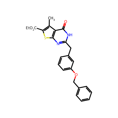 CCOC(=O)c1sc2nc(Cc3cccc(OCc4ccccc4)c3)[nH]c(=O)c2c1C